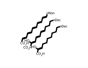 CCCCCCCCC/C=C/C=C/C=C/C=C/C=C/C(=O)O.CCCCCCCCCCCCC/C=C/C=C/C=C(\O)C(=O)O.CCCCCCCCCCCCCCCCC/C=C(\O)C(=O)O